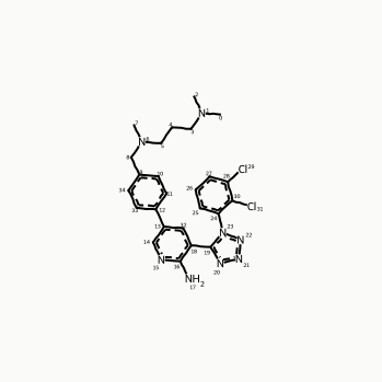 CN(C)CCCN(C)Cc1ccc(-c2cnc(N)c(-c3nnnn3-c3cccc(Cl)c3Cl)c2)cc1